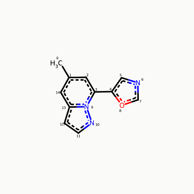 Cc1cc(-c2cnco2)n2nc[c]c2c1